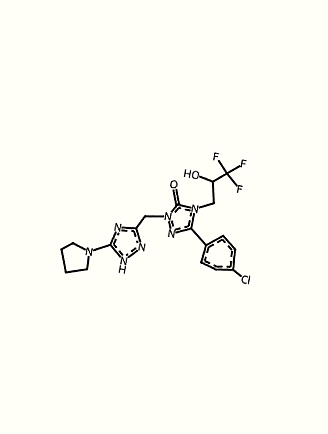 O=c1n(Cc2n[nH]c(N3CCCC3)n2)nc(-c2ccc(Cl)cc2)n1CC(O)C(F)(F)F